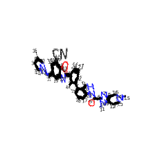 Cc1c(NC(=O)c2nc3c(n2C)CCN(C)C3)cccc1-c1cccc(-c2nc3cc(CN4CC[C@H](C)C4)cc(C#N)c3o2)c1C